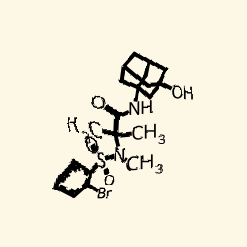 CN(C(C)(C)C(=O)NC12CC3CC(CC(O)(C3)C1)C2)S(=O)(=O)c1ccccc1Br